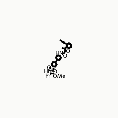 CC#Cc1cccc2oc(C(=O)Nc3ccc(-c4ccc(S(=O)(=O)NC(C(=O)OC)C(C)C)cc4)cc3)c(C)c12